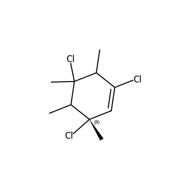 CC1C(Cl)=C[C@](C)(Cl)C(C)C1(C)Cl